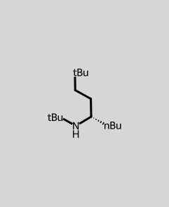 CCCC[C@@H](CCC(C)(C)C)NC(C)(C)C